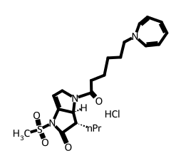 CCC[C@@H]1C(=O)N(S(C)(=O)=O)C2=CCN(C(=O)CCCCCN3C=CC=CC=C3)[C@H]21.Cl